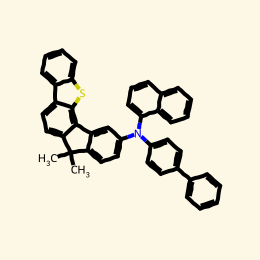 CC1(C)c2ccc(N(c3ccc(-c4ccccc4)cc3)c3cccc4ccccc34)cc2-c2c1ccc1c2sc2ccccc21